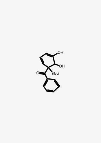 CCCCC1(C(=O)c2ccccc2)C=CC=C(O)C1O